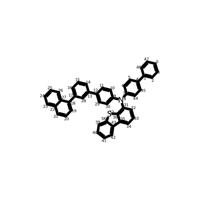 c1ccc(-c2ccc(N(c3ccc(-c4cccc(-c5cccc6ccccc56)c4)cc3)c3cccc4c3sc3ccccc34)cc2)cc1